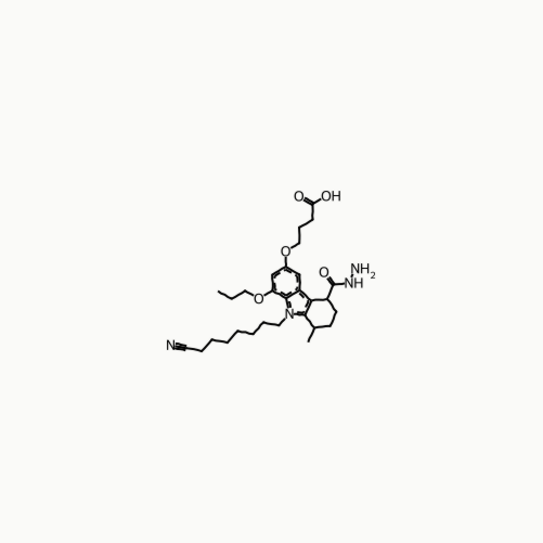 CCCOc1cc(OCCCC(=O)O)cc2c3c(n(CCCCCCCC#N)c12)C(C)CCC3C(=O)NN